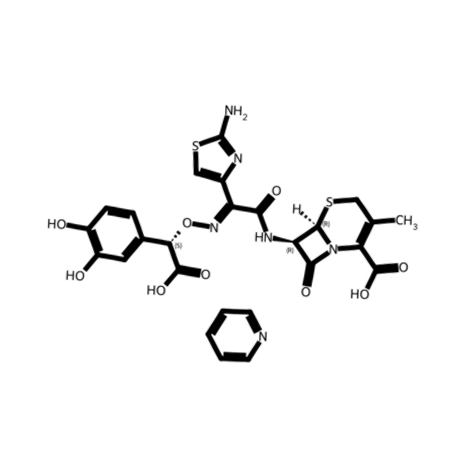 CC1=C(C(=O)O)N2C(=O)[C@@H](NC(=O)C(=NO[C@H](C(=O)O)c3ccc(O)c(O)c3)c3csc(N)n3)[C@H]2SC1.c1ccncc1